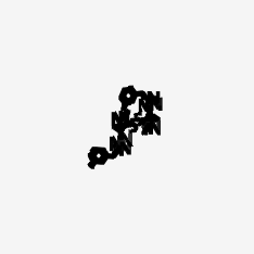 Cc1cccc(Cn2nnc(-c3cnn(C)c3SSc3c(-c4nnn(Cc5cccc(C)c5)n4)cnn3C)n2)c1